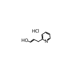 Cl.OC=CCc1ccccn1